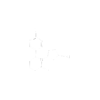 O=C1CCCC(c2ccc(Cl)cc2)N1C1CCC(O)C1